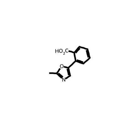 Cc1ncc(-c2ccccc2C(=O)O)o1